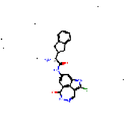 N[C@@H](C(=O)Nc1cc2c3c(c(Cl)[nH]c3c1)C=NNC2=O)C1Cc2ccccc2C1